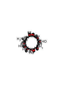 CCCC[C@H]1C(=O)N2CSC[C@@H]2C(=O)N[C@@H](COC=O)C(=O)N[C@@H](C(C)C)C(=O)N(C)[C@@H](Cc2ccccc2)C(=O)N[C@@H](Cc2ccc(O)cc2)C(=O)N2CCC[C@@H]2C(=O)N[C@@H](Cc2c[nH]c3ccccc23)C(=O)N[C@@H](Cc2ccc(O)cc2)C(=O)N[C@@H](CC(C)C)C(=O)N[C@H](C(=O)NCC(N)=O)CSCC(=O)N[C@@H](Cc2cc(F)c(F)c(F)c2)C(=O)N(C)[C@@H](Cc2ccccc2)C(=O)N1C